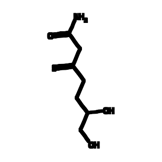 NC(=O)CC(=S)CCC(O)CO